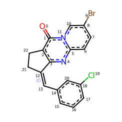 O=c1c2c(nc3ccc(Br)cn13)/C(=C\c1cccc(Cl)c1)CC2